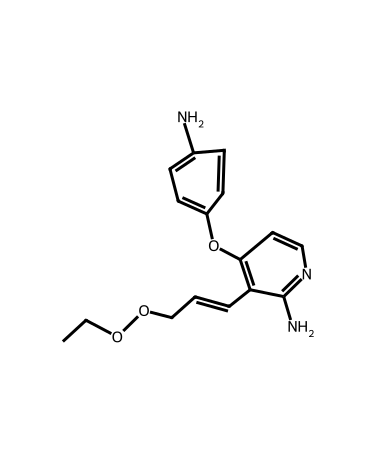 CCOOC/C=C/c1c(Oc2ccc(N)cc2)ccnc1N